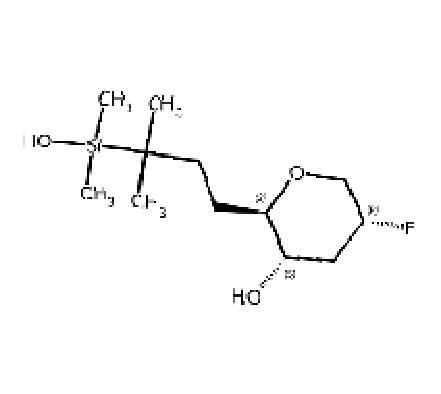 CC(C)(CC[C@H]1OC[C@H](F)C[C@@H]1O)[Si](C)(C)O